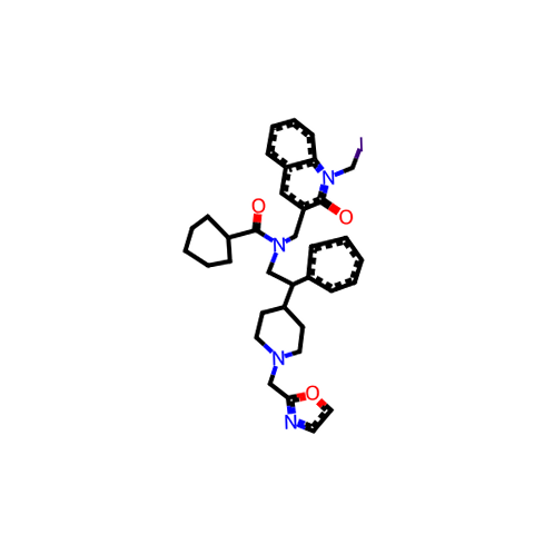 O=C(C1CCCCC1)N(Cc1cc2ccccc2n(CI)c1=O)CC(c1ccccc1)C1CCN(Cc2ncco2)CC1